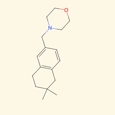 CC1(C)CCc2cc(CN3CCOCC3)ccc2C1